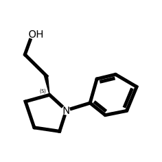 OCC[C@@H]1CCCN1c1ccccc1